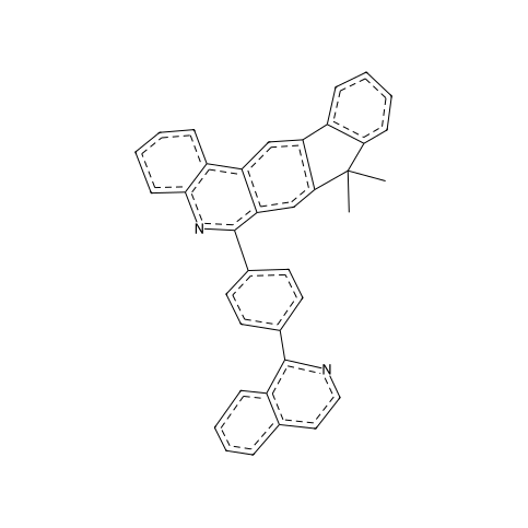 CC1(C)c2ccccc2-c2cc3c(cc21)c(-c1ccc(-c2nccc4ccccc24)cc1)nc1ccccc13